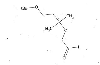 CC(C)(C)OCCC(C)(C)OCC(=O)I